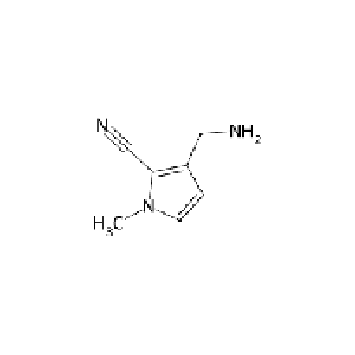 Cn1ccc(CN)c1C#N